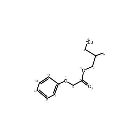 CC(COC(=O)COc1ccccc1)CC(C)(C)C